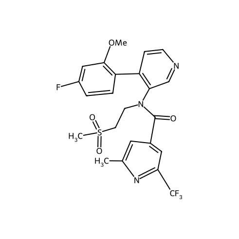 COc1cc(F)ccc1-c1ccncc1N(CCS(C)(=O)=O)C(=O)c1cc(C)nc(C(F)(F)F)c1